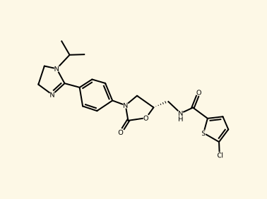 CC(C)N1CCN=C1c1ccc(N2C[C@H](CNC(=O)c3ccc(Cl)s3)OC2=O)cc1